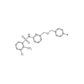 Cc1c(Cl)cccc1S(=O)(=O)Nc1cccc(COCc2ccc(F)cc2)n1